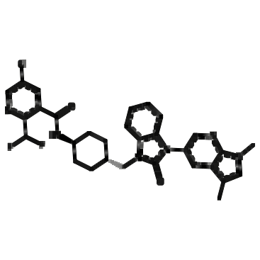 Cc1cn(C)c2ncc(-n3c(=O)n(C[C@H]4CC[C@H](NC(=O)c5cc(Cl)cnc5C(F)F)CC4)c4ccccc43)cc12